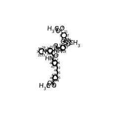 CCN([C@H]1CC[C@H](C(=O)OC)CC1)S(=O)(=O)c1cccc(C(=O)Nc2ccc(N3CCCCC3)cc2C(=O)Nc2ccc(CCCc3ccc(C(=O)OC)cc3)cc2)c1